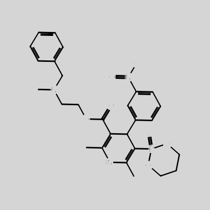 CC1=C(C(=O)OCCN(C)Cc2ccccc2)C(c2cccc([N+](=O)[O-])c2)C(P2(=O)OCCCO2)=C(C)N1